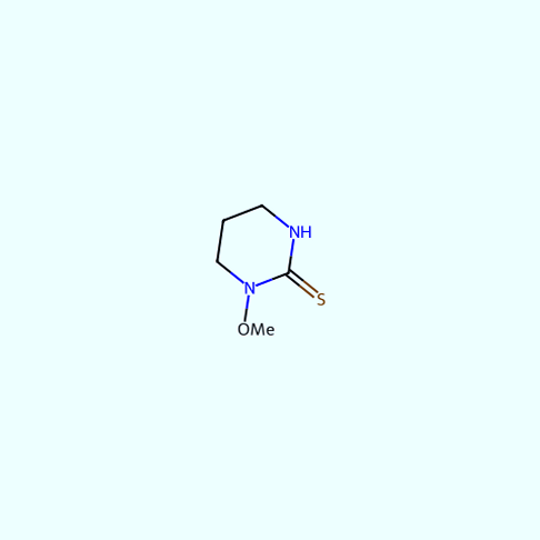 CON1CCCNC1=S